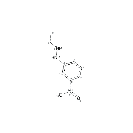 CCNNc1cccc([N+](=O)[O-])c1